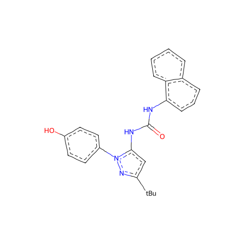 CC(C)(C)c1cc(NC(=O)Nc2cccc3ccccc23)n(-c2ccc(O)cc2)n1